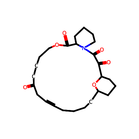 O=C1C/C=C\CCCCC2CCCC(O2)C(=O)C(=O)N2CCCCC2C(=O)OCCCC1